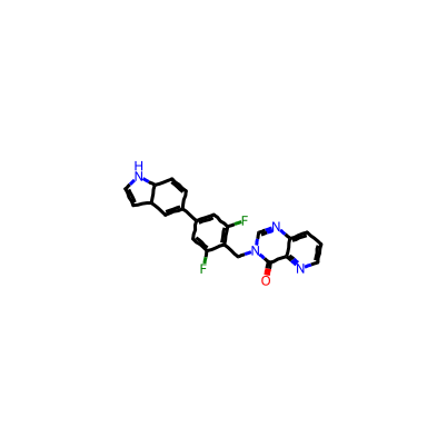 O=c1c2ncccc2ncn1Cc1c(F)cc(C2=CC3C=CNC3C=C2)cc1F